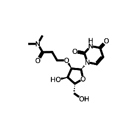 CN(C)C(=O)CCO[C@@H]1[C@H](O)[C@@H](CO)O[C@H]1n1ccc(=O)[nH]c1=O